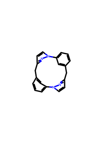 c1cc2cc(c1)-n1ccc(n1)Cc1cccc(c1)-n1ccc(n1)C2